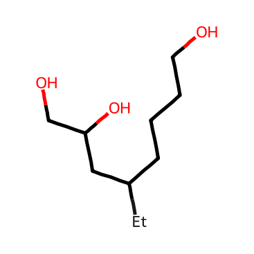 CCC(CCCCO)CC(O)CO